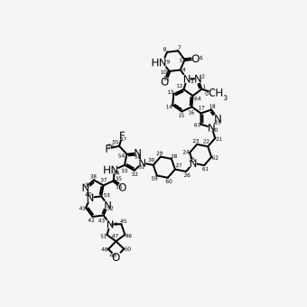 Cc1nn(C2C(=O)CCNC2=O)c2cccc(-c3cnn(CC4CCN(CC5CCC(n6cc(NC(=O)c7cnn8ccc(N9CCC%10(COC%10)C9)nc78)c(C(F)F)n6)CC5)CC4)c3)c12